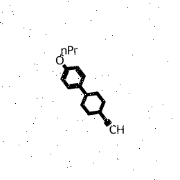 C#CC1CCC(c2ccc(OCCC)cc2)CC1